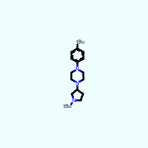 CC(C)(C)c1ccc(N2CCN(C3CCN(C(C)(C)C)C3)CC2)cc1